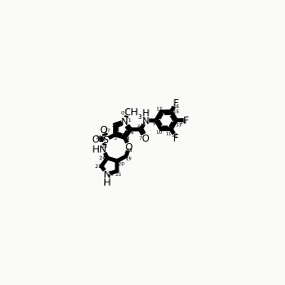 Cn1cc2c(c1C(=O)Nc1cc(F)c(F)c(F)c1)OCC1CNCC1NS2(=O)=O